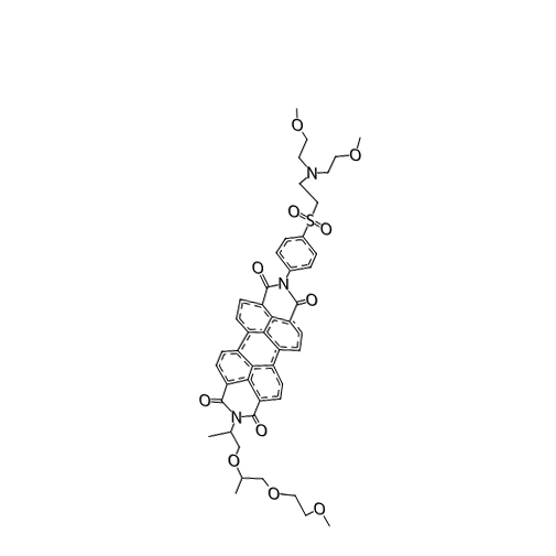 COCCOCC(C)OCC(C)N1C(=O)c2ccc3c4ccc5c6c(ccc(c7ccc(c2c37)C1=O)c64)C(=O)N(c1ccc(S(=O)(=O)CCN(CCOC)CCOC)cc1)C5=O